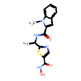 CC(NC(=O)c1cc2ccccc2n1C)c1ncc(C(=O)NO)s1